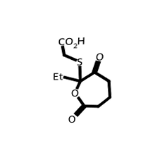 CCC1(SCC(=O)O)OC(=O)CCCC1=O